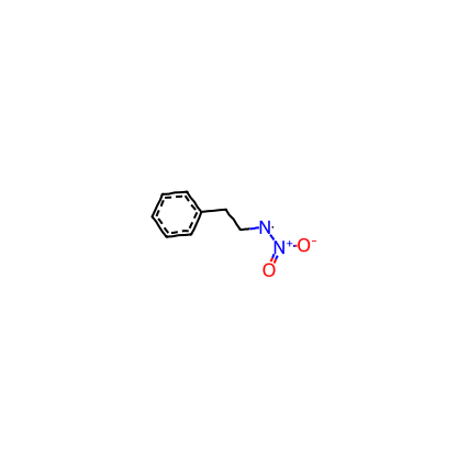 O=[N+]([O-])[N]CCc1ccccc1